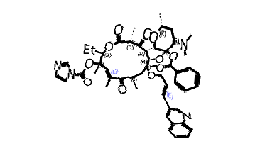 CC[C@H]1OC(=O)[C@H](C)C(=O)[C@H](C)[C@@H](O[C@]2(OC(=O)c3ccccc3)CO[C@H](C)C[C@@H]2N(C)C)[C@](C)(OC/C=C/c2cnc3ccccc3c2)C[C@@H](C)C(=O)/C(C)=C/[C@]1(C)OC(=O)n1ccnc1